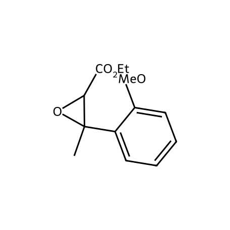 CCOC(=O)C1OC1(C)c1ccccc1OC